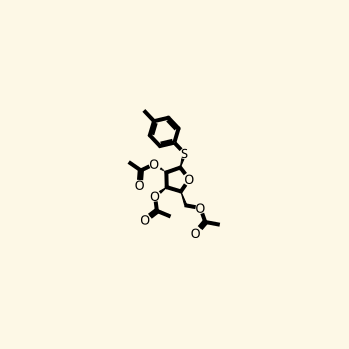 CC(=O)OC[C@@H]1O[C@H](Sc2ccc(C)cc2)[C@@H](OC(C)=O)[C@@H]1OC(C)=O